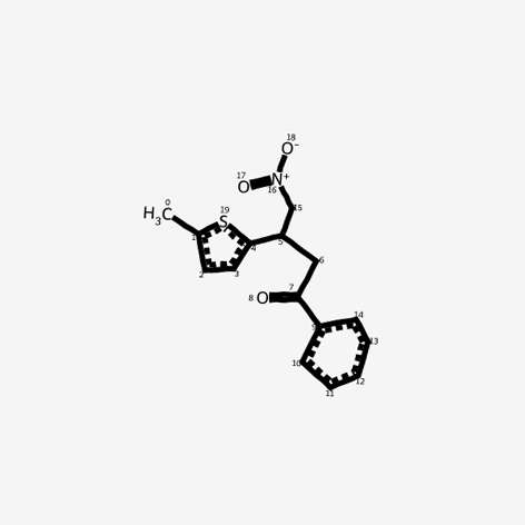 Cc1ccc(C(CC(=O)c2ccccc2)C[N+](=O)[O-])s1